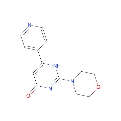 O=c1cc(-c2ccncc2)[nH]c(N2CCOCC2)n1